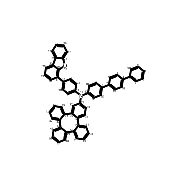 c1ccc(-c2ccc(-c3ccc(N(c4ccc(-c5cccc6c5oc5ccccc56)cc4)c4ccc5c(c4)-c4ccccc4-c4ccccc4-c4ccccc4-5)cc3)cc2)cc1